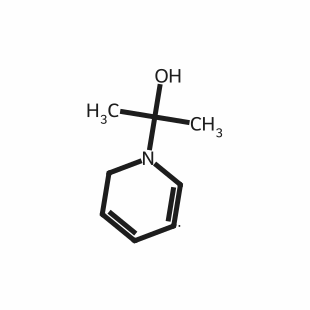 CC(C)(O)N1C=[C]C=CC1